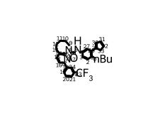 CCCCc1ccc(NC(=O)N2CCCCCc3ccc(-c4cccc(C(F)(F)F)c4)nc32)cc1C1=CC=CC1